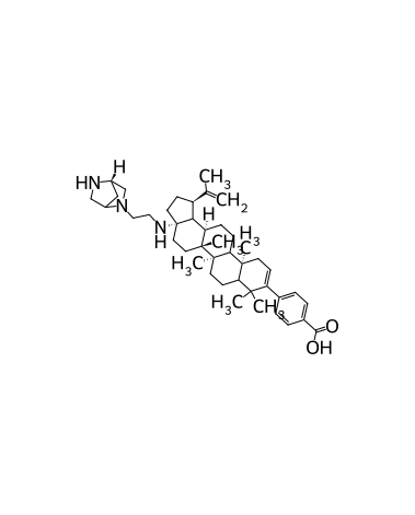 C=C(C)[C@@H]1CC[C@]2(NCCN3C[C@@H]4CC3CN4)CC[C@]3(C)[C@H](CCC4[C@@]5(C)CC=C(c6ccc(C(=O)O)cc6)C(C)(C)C5CC[C@]43C)C12